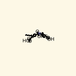 CCCCCCN(CCCS(=O)(=O)O)c1ccc(C2=C(O)/C(=C\C3=Nc4ccc(SOOO)cc4C3(C)C)C2=O)cc1